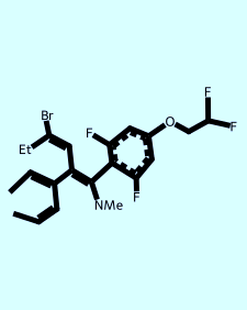 C\C=C/C(=C\C)C(/C=C(/Br)CC)=C(\NC)c1c(F)cc(OCC(F)F)cc1F